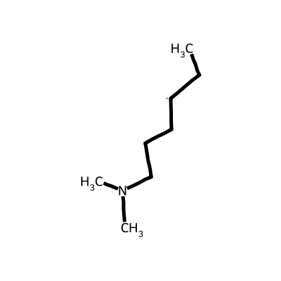 CC[CH]CCCN(C)C